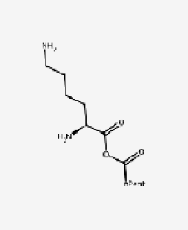 CCCCCC(=O)OC(=O)[C@@H](N)CCCCN